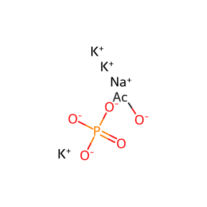 CC(=O)[O-].O=P([O-])([O-])[O-].[K+].[K+].[K+].[Na+]